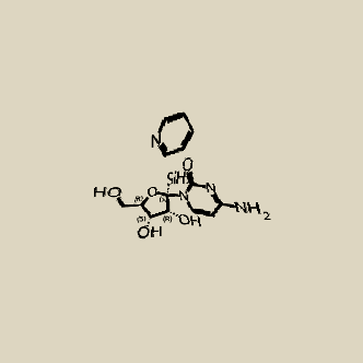 Nc1ccn([C@]2([SiH3])O[C@H](CO)[C@@H](O)[C@H]2O)c(=O)n1.c1ccncc1